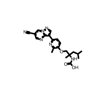 Cc1nc(-c2cnn3cc(C#N)cnc23)ccc1OCC(C)(CC(C)C)NC(=O)O